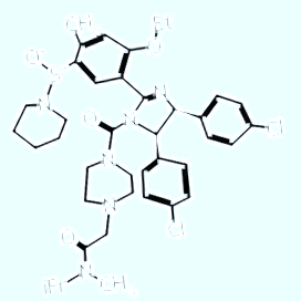 CCOc1cc(C)c([S+]([O-])N2CCCCC2)cc1C1=N[C@@H](c2ccc(Cl)cc2)[C@@H](c2ccc(Cl)cc2)N1C(=O)N1CCN(CC(=O)N(C)C(C)C)CC1